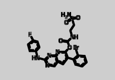 NS(=O)(=O)CCNC(=O)Oc1nc2nc(Nc3ccc(F)cc3)ncc2cc1-c1ccccc1Br